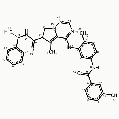 CC1=C2C(Nc3cc(NC(=O)c4cccc(C#N)c4)ccc3C)=NC=NN2CC1C(=O)N[C@@H](C)c1ccccc1